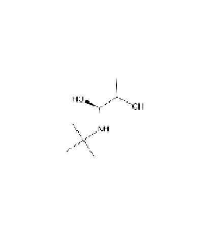 CC(O)[C@H](O)NC(C)(C)C